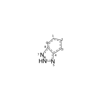 [c]1cc[c]c2n[nH]nc12